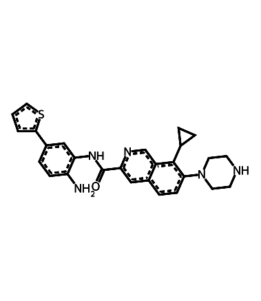 Nc1ccc(-c2cccs2)cc1NC(=O)c1cc2ccc(N3CCNCC3)c(C3CC3)c2cn1